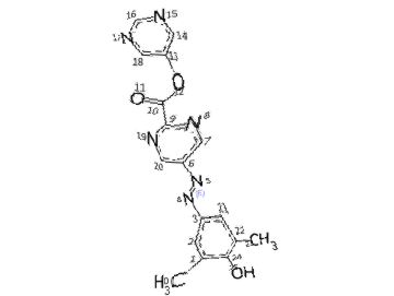 Cc1cc(/N=N/c2cnc(C(=O)Oc3cncnc3)nc2)cc(C)c1O